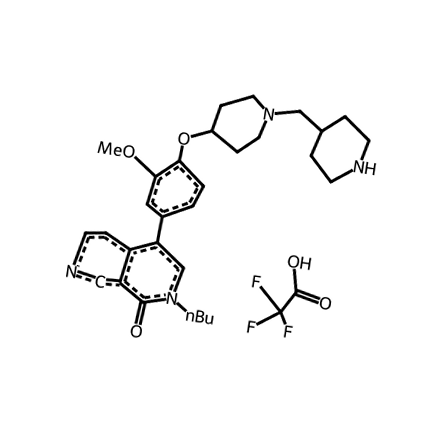 CCCCn1cc(-c2ccc(OC3CCN(CC4CCNCC4)CC3)c(OC)c2)c2ccncc2c1=O.O=C(O)C(F)(F)F